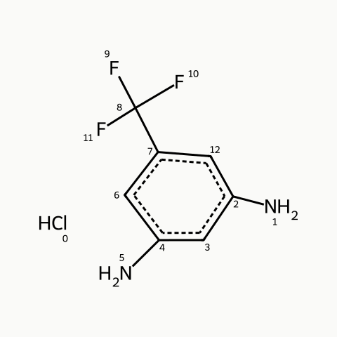 Cl.Nc1cc(N)cc(C(F)(F)F)c1